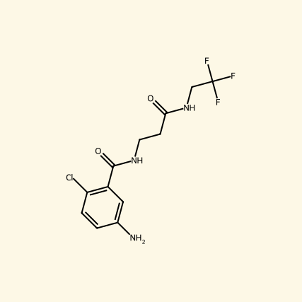 Nc1ccc(Cl)c(C(=O)NCCC(=O)NCC(F)(F)F)c1